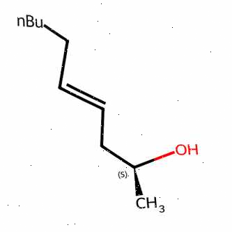 CCCCCC=CC[C@H](C)O